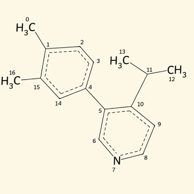 Cc1ccc(-c2cnccc2C(C)C)cc1C